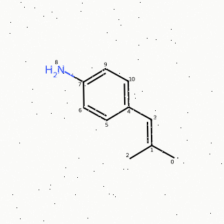 [CH2]C(C)=Cc1ccc(N)cc1